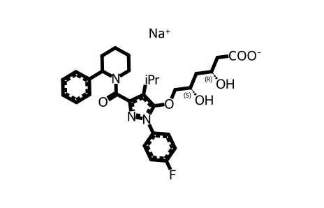 CC(C)c1c(C(=O)N2CCCCC2c2ccccc2)nn(-c2ccc(F)cc2)c1OC[C@@H](O)C[C@@H](O)CC(=O)[O-].[Na+]